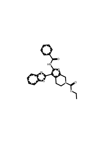 CCOC(=O)N1CCc2c(sc(NC(=O)c3ccccc3)c2-c2nc3ccccc3s2)C1